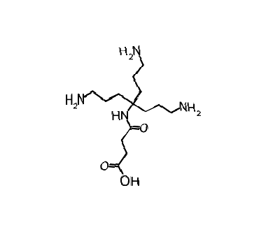 NCCCC(CCCN)(CCCN)NC(=O)CCC(=O)O